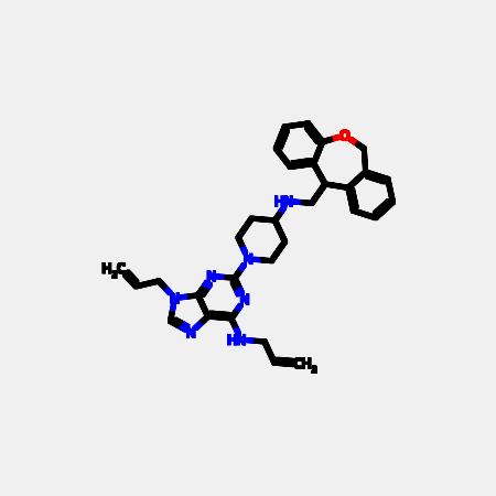 C=CCNc1nc(N2CCC(NCC3c4ccccc4COc4ccccc43)CC2)nc2c1ncn2CC=C